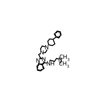 CN(C)CCCNc1nc(CN2CCN(C3CCC(c4ccccc4)CC3)CC2)nc2ccccc12